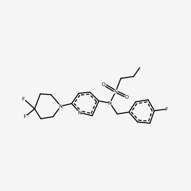 CCCS(=O)(=O)N(Cc1ccc(F)cc1)c1ccc(N2CCC(F)(F)CC2)nc1